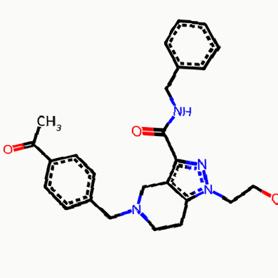 CC(=O)c1ccc(CN2CCc3c(c(C(=O)NCc4ccccc4)nn3CCO)C2)cc1